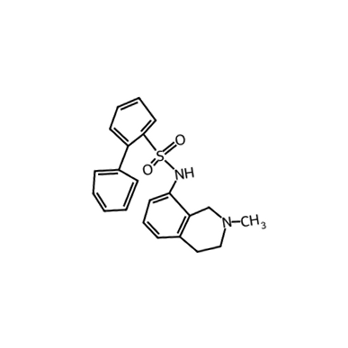 CN1CCc2cccc(NS(=O)(=O)c3ccccc3-c3ccccc3)c2C1